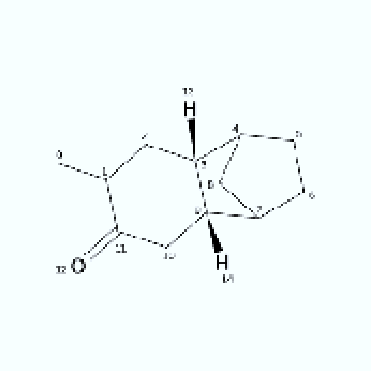 CC1C[C@@H]2C3CCC(C3)[C@@H]2CC1=O